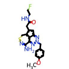 COc1ccc(Cn2nc3cc(CC(=O)NCCF)c4c-3c(n2)C(N)=NSC4)cc1